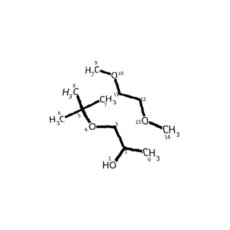 CC(O)COC(C)(C)C.COCCOC